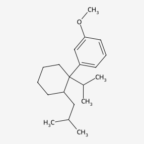 COc1cccc(C2(C(C)C)CCCCC2CC(C)C)c1